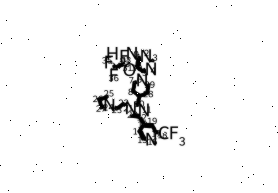 Nc1ncnc(N2CCC(c3nc(-c4ccnc(C(F)(F)F)c4)cn3CCN3CCC3)CC2)c1OC(F)C(F)F